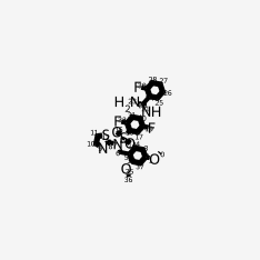 COc1ccc(CN(c2nccs2)S(=O)(=O)c2cc(F)c(N[C@@H](N)c3ccccc3F)cc2F)c(OC)c1